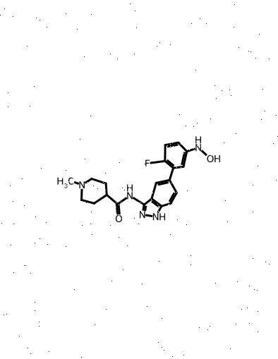 CN1CCC(C(=O)Nc2n[nH]c3ccc(-c4cc(NO)ccc4F)cc23)CC1